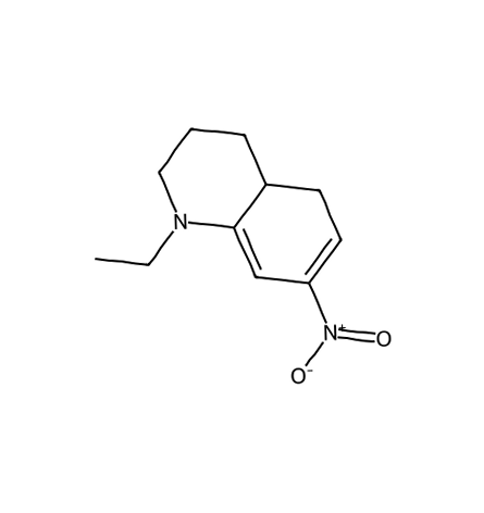 CCN1CCCC2CC=C([N+](=O)[O-])C=C21